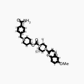 COc1ccc2nc(N3C[C@@H](C)N(C(=O)OC4CCN(Cc5ccc(C(N)=O)cc5)CC4)[C@@H](C)C3)cnc2c1